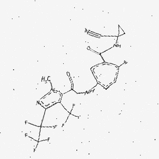 Cn1nc(C(F)(F)C(F)(F)F)c(C(F)(F)F)c1C(=O)Nc1ccc(Br)c(C(=O)NC2(C#N)CC2)c1